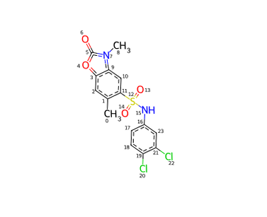 Cc1cc2oc(=O)n(C)c2cc1S(=O)(=O)Nc1ccc(Cl)c(Cl)c1